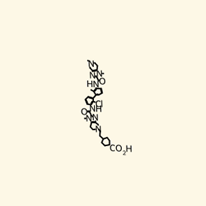 Cc1c(NC(=O)c2nc3c(n2C)CCN(C)C3)cccc1-c1cccc(NC(=O)c2nc3c(n2C)CCN(CCC2CCC(C(=O)O)CC2)C3)c1Cl